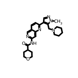 Cn1ncc(-c2ccc3cnc(NC(=O)C4CCOCC4)cc3n2)c1CN1CCCCC1